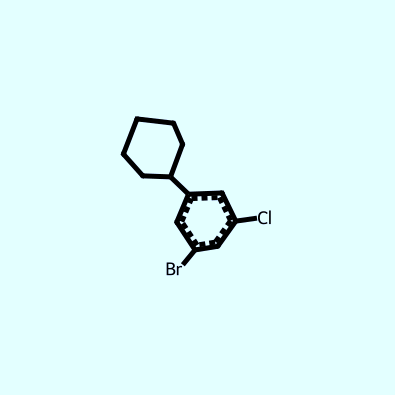 Clc1cc(Br)cc(C2CCCCC2)c1